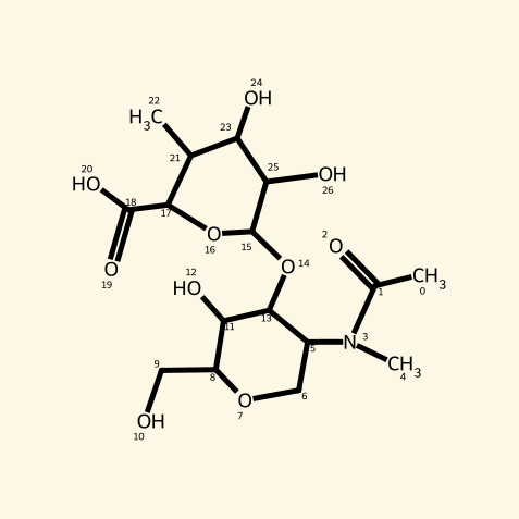 CC(=O)N(C)C1COC(CO)C(O)C1OC1OC(C(=O)O)C(C)C(O)C1O